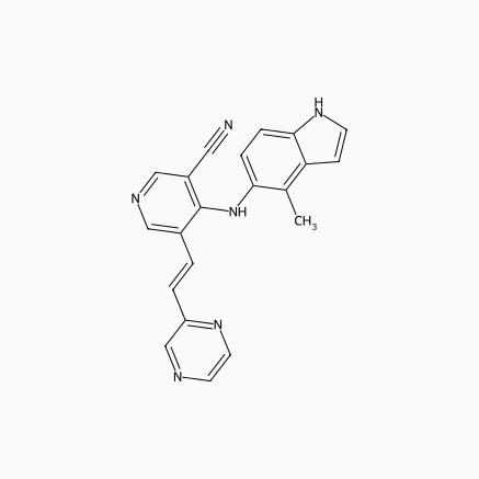 Cc1c(Nc2c(C#N)cncc2/C=C/c2cnccn2)ccc2[nH]ccc12